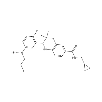 CCCN(CCI)c1ccc(F)c(C2Nc3ccc(C(=O)NSC4CC4)cc3CC2(C)C)c1